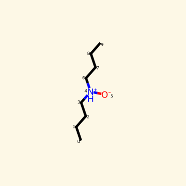 CCCC[NH+]([O-])CCCC